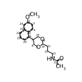 COc1ccc2c(C3COC(CCCNC(C)=O)OC3)cccc2c1